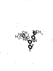 C[C@@H]1CN(C(=O)Nc2cc(-c3ccc(F)cc3F)cc(-n3cnc4cc(-c5cnn(C)c5)ccc43)c2)C[C@H](C)N1